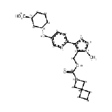 Cn1nnc(-c2ccc(O[C@H]3CCC[C@H](C(=O)O)C3)cn2)c1COC(=O)N1CC2(CCC2)C1